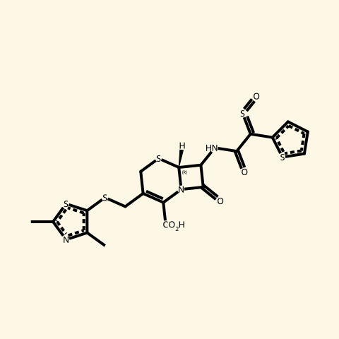 Cc1nc(C)c(SCC2=C(C(=O)O)N3C(=O)C(NC(=O)C(=S=O)c4cccs4)[C@H]3SC2)s1